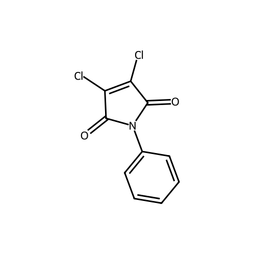 O=C1C(Cl)=C(Cl)C(=O)N1c1ccccc1